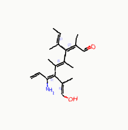 C=C/C(N)=C(C(/C)=C/O)\C(C)=C(C)\C(=C(\C)C=O)C(\C)=C\C